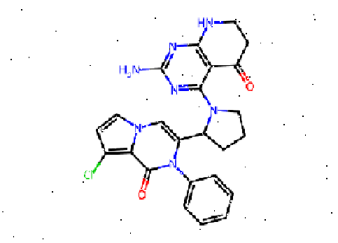 Nc1nc2c(c(N3CCCC3c3cn4ccc(Cl)c4c(=O)n3-c3ccccc3)n1)C(=O)CCN2